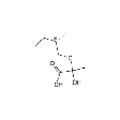 CC[C@H](C)COC(C)(O)C(=O)O